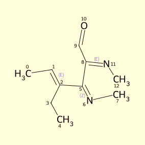 C/C=C(CC)/C(=N/C)C(/C=O)=N\C